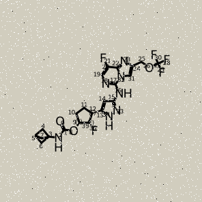 O=C(NC12CC(C1)C2)O[C@H]1CC[C@@H](c2cc(Nc3ncc(F)c4nc(COC(F)(F)F)cn34)n[nH]2)[C@@H]1F